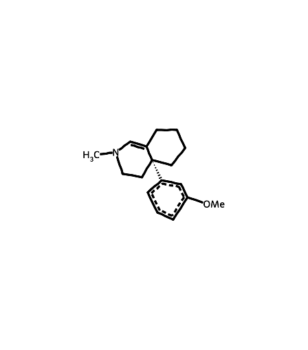 COc1cccc([C@@]23CCCCC2=CN(C)CC3)c1